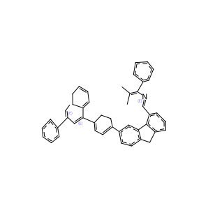 C/C=C(\C=C(/C1=CC=CCC1)C1=CC=C(c2ccc3c(c2)-c2c(/C=N/C(=C(C)C)c4ccccc4)cccc2C3)CC1)c1ccccc1